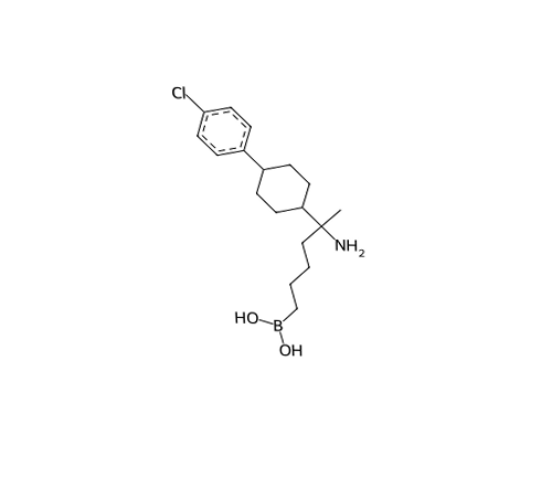 CC(N)(CCCCB(O)O)C1CCC(c2ccc(Cl)cc2)CC1